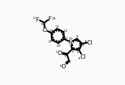 O=CC(=O)c1c(Cl)c(Cl)cn1-c1ccc(OC(F)F)cc1